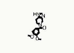 COc1ccc(C(=O)N2CCc3[nH]cnc3C2)cc1OC